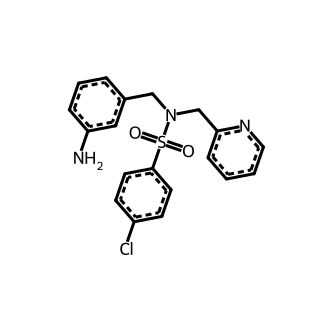 Nc1cccc(CN(Cc2ccccn2)S(=O)(=O)c2ccc(Cl)cc2)c1